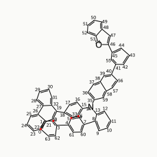 c1ccc(-c2ccc(-c3ccccc3N(c3ccc(-c4cc5ccccc5c5ccccc45)cc3)c3ccc4cc(-c5cccc(-c6cc7ccccc7o6)c5)ccc4c3)cc2)cc1